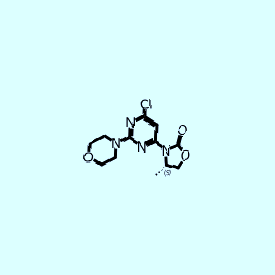 C[C@H]1COC(=O)N1c1cc(Cl)nc(N2CCOCC2)n1